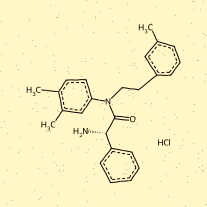 Cc1cccc(CCN(C(=O)[C@@H](N)c2ccccc2)c2ccc(C)c(C)c2)c1.Cl